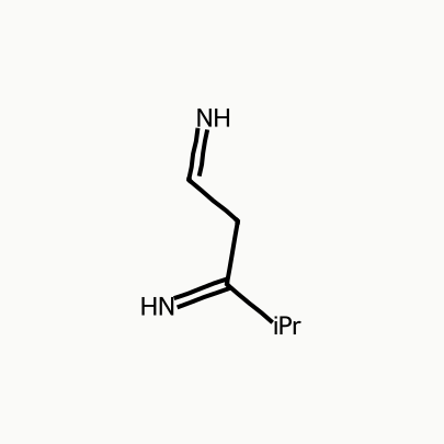 CC(C)C(=N)CC=N